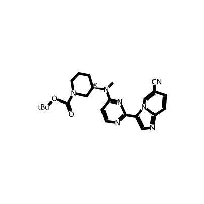 CN(c1ccnc(-c2cnc3ccc(C#N)cn23)n1)[C@@H]1CCCN(C(=O)OC(C)(C)C)C1